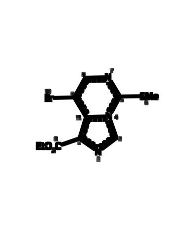 CCOC(=O)c1ncn2c(SC)ncc(Br)c12